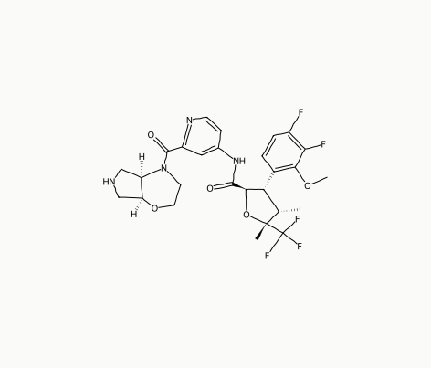 COc1c([C@H]2[C@H](C(=O)Nc3ccnc(C(=O)N4CCO[C@H]5CNC[C@H]54)c3)O[C@@](C)(C(F)(F)F)[C@H]2C)ccc(F)c1F